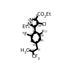 CCOC(=O)c1nn(CC)c(-c2c(F)cc(CC(C)C(F)(F)F)cc2F)c1Cl